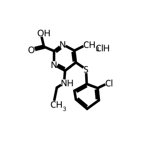 CCNc1nc(C(=O)O)nc(C)c1Sc1ccccc1Cl.Cl